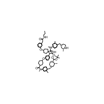 CCCNC(=O)Cc1cccc(OC2CCC(C(=O)N(C)c3ccc(CN4CCN[C@@H](C)C4)c(C)c3)(C(C(=O)O)c3cccc(OC4CCC(C(=O)N(C)c5ccc(CN6CCN(C(=O)OC(C)(C)C)[C@@H](C)C6)c(C)c5)CC4)c3)CC2)c1